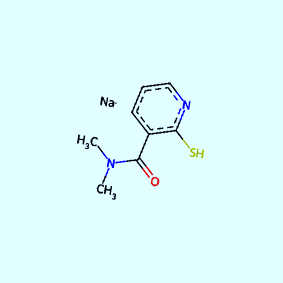 CN(C)C(=O)c1cccnc1S.[Na]